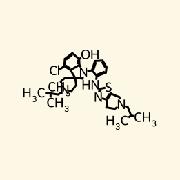 CC(C)CN1CCc2nc(Nc3ccccc3N3CC4(CCN(CC(C)(C)C)CC4)c4c(Cl)ccc(O)c43)sc2C1